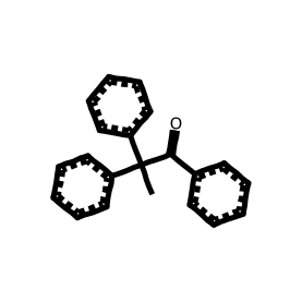 CC(C(=O)c1ccccc1)(c1ccccc1)c1ccccc1